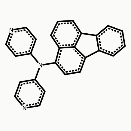 c1ccc2c(c1)-c1cccc3c(N(c4ccncc4)c4ccncc4)ccc-2c13